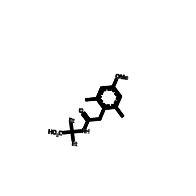 CCC(CC)(NC(=O)Cc1c(C)cc(OC)cc1C)C(=O)O